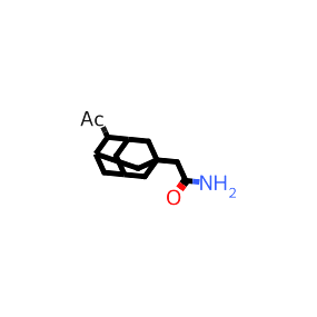 CC(=O)C1C2CC3CC1CC(CC(N)=O)(C3)C2